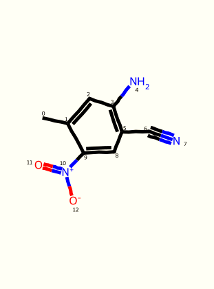 Cc1cc(N)c(C#N)cc1[N+](=O)[O-]